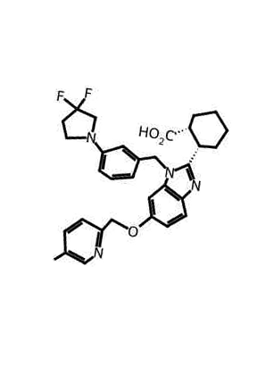 Cc1ccc(COc2ccc3nc([C@H]4CCCC[C@H]4C(=O)O)n(Cc4cccc(N5CCC(F)(F)C5)c4)c3c2)nc1